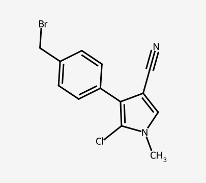 Cn1cc(C#N)c(-c2ccc(CBr)cc2)c1Cl